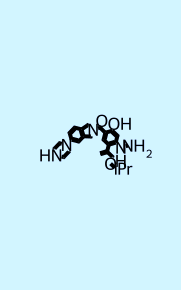 C=C(COC(C)C)c1cc(C(=O)N2Cc3ccc(N4CCNCC4)cc3C2)c(O)cc1NN